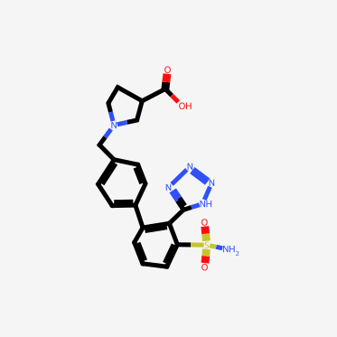 NS(=O)(=O)c1cccc(-c2ccc(CN3CCC(C(=O)O)C3)cc2)c1-c1nnn[nH]1